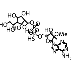 CO[C@]1(C)[C@H](O)[C@@H](COP(=O)(S)OP(=O)(O)OC2OC3(O)C2C(O)C(O)C3[C@@H](O)CO)O[C@H]1n1cnc2c(N)ncnc21